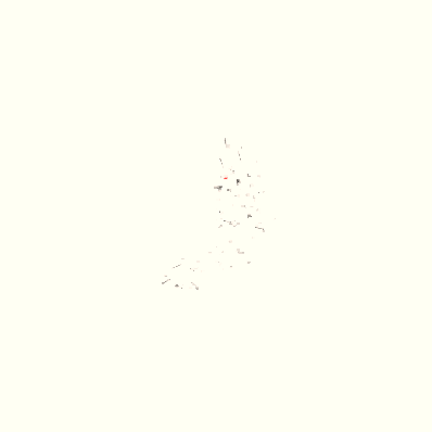 C[C@@H]1C[C@H]2[C@@H]3CCC4=CC(=O)C=C[C@]4(C)[C@@]3(F)[C@@H](O)C[C@]2(C)[C@@]1(O)C(=O)COP(=O)(O)O[C@@H]1C[C@H](n2ccc(=O)[nH]c2=O)O[C@@H]1COC(=O)NCCN